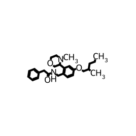 CCCC(C)COc1ccc(CNC(=O)Cc2ccccc2)c(C2COCCN2C)c1